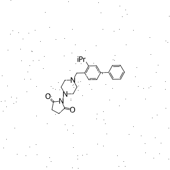 CC(C)c1cc(-c2ccccc2)ccc1CN1CCN(N2C(=O)CCC2=O)CC1